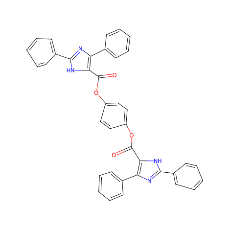 O=C(Oc1ccc(OC(=O)c2[nH]c(-c3ccccc3)nc2-c2ccccc2)cc1)c1[nH]c(-c2ccccc2)nc1-c1ccccc1